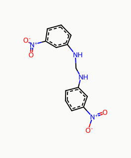 O=[N+]([O-])c1cccc(NCNc2cccc([N+](=O)[O-])c2)c1